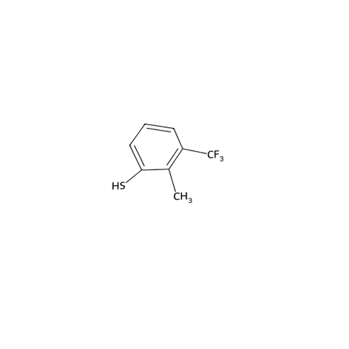 Cc1c(S)cccc1C(F)(F)F